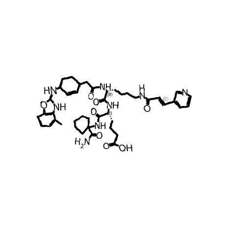 CC1=CCCC2=C1NC(NC1C=CC(CC(=O)N[C@H](CCCCNC(=O)/C=C/c3cccnc3)C(=O)N[C@H](CCCC(=O)O)C(=O)NC3(C(N)=O)CCCCC3)CC1)O2